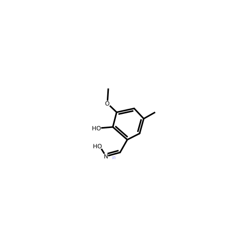 COc1cc(C)cc(/C=N\O)c1O